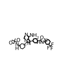 CC1(C(=O)N[C@@H]2CCC[C@H](c3nc(-c4ccc(C(=O)Nc5cc(C(F)(F)F)ccn5)cc4)c4c(N)nccn34)C2)COC1